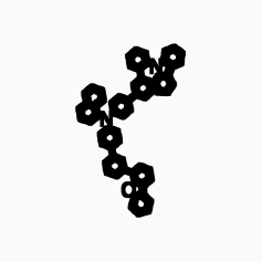 c1cc(-c2ccc(N(c3ccc(-c4cccc(-c5cccc6c5oc5ccccc56)c4)cc3)c3cccc4ccccc34)cc2)cc(-c2ccccc2-n2c3ccccc3c3ccccc32)c1